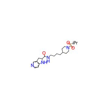 CC(C)S(=O)(=O)N1CCC(CCCCNC(=O)C2Cc3cnccc3N2)CC1